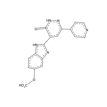 O=C(O)Oc1ccc2[nH]c(-c3cc(-c4ccncc4)n[nH]c3=O)nc2c1